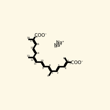 CC(C=CC=C(C)C(=O)[O-])=CC=CC=C(C)C=CC=C(C)C(=O)[O-].[Na+].[Na+]